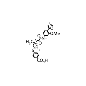 COc1cc(NC(=O)C(=O)NC(C)(C)CCSc2ccc(C(=O)O)cc2)ccc1-c1cnco1